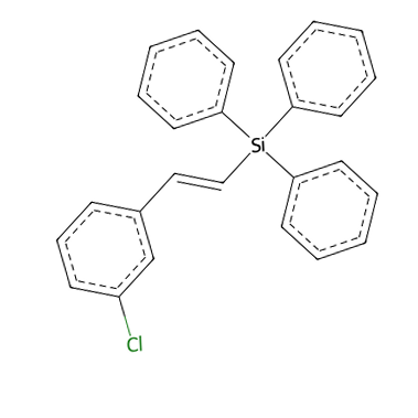 Clc1cccc(/C=C/[Si](c2ccccc2)(c2ccccc2)c2ccccc2)c1